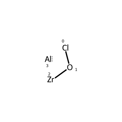 Cl[O][Zr].[Al]